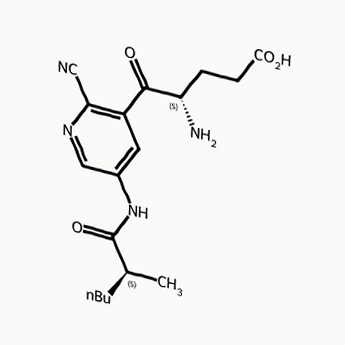 CCCC[C@H](C)C(=O)Nc1cnc(C#N)c(C(=O)[C@@H](N)CCC(=O)O)c1